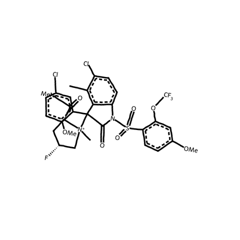 CNC(=O)[C@@H]1C[C@@H](F)C[N+]1(C)C1(c2cc(Cl)ccc2OC)C(=O)N(S(=O)(=O)c2ccc(OC)cc2OC(F)(F)F)c2ccc(Cl)c(C)c21